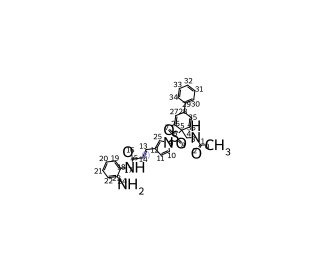 CC(=O)NCC1(S(=O)(=O)n2ccc(/C=C/C(=O)Nc3ccccc3N)c2)C=CC(c2ccccc2)C=C1